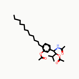 CCCCCCCCCCCCc1ccc(C(NC(C)=O)C(OC(C)=O)C(C)C)cc1OC(C)=O